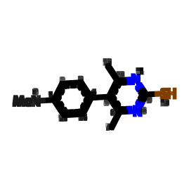 CNc1ccc(-c2c(C)nc(S)nc2C)cc1